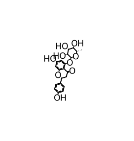 C[C@@H]1O[C@@H](Oc2cc(O)cc3c2C(=O)CC(c2ccc(O)cc2)O3)[C@H](O)[C@H](O)[C@H]1O